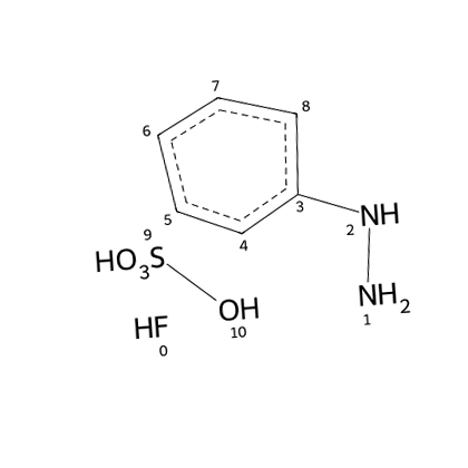 F.NNc1ccccc1.O=S(=O)(O)O